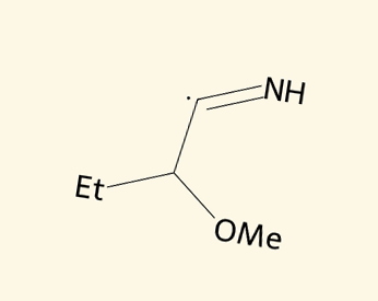 CCC([C]=N)OC